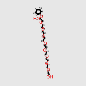 OCCOCCOCCOCCOCCOCCOCCOCCOCC(O)Oc1ccccc1